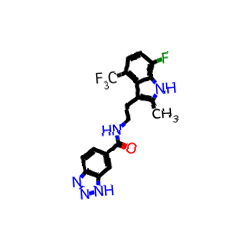 Cc1[nH]c2c(F)ccc(C(F)(F)F)c2c1CCNC(=O)c1ccc2nn[nH]c2c1